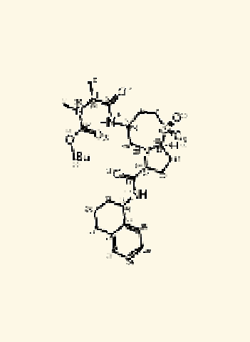 C[C@@H](C(=O)N[C@H]1CCS(=O)(=O)[C@H]2CC[C@@H](C(=O)N[C@@H]3CCCc4ccccc43)N2C1)N(C)C(=O)OC(C)(C)C